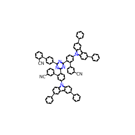 N#Cc1cccc(-c2cc(-n3c4ccc(-c5ccccc5)cc4c4cc(-c5ccccc5)ccc43)ccc2-c2nc(-c3ccc(-c4ccccc4C#N)cc3)nc(-c3ccc(-n4c5ccc(-c6ccccc6)cc5c5cc(-c6ccccc6)ccc54)cc3-c3cccc(C#N)c3)n2)c1